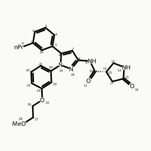 CCCc1cccc(-c2cc(NC(=O)[C@@H]3CNC(=O)C3)nn2-c2cccc(OCCOC)c2)c1